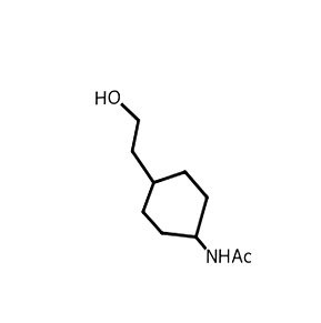 CC(=O)NC1CCC(CCO)CC1